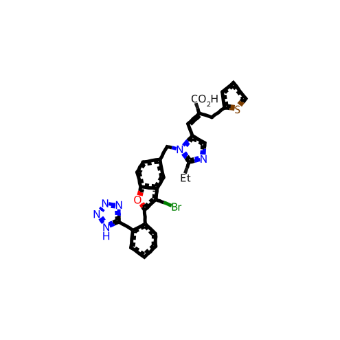 CCc1ncc(C=C(Cc2cccs2)C(=O)O)n1Cc1ccc2oc(-c3ccccc3-c3nnn[nH]3)c(Br)c2c1